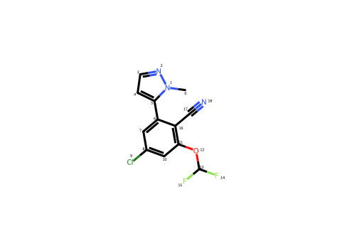 Cn1nccc1-c1cc(Cl)cc(OC(F)F)c1C#N